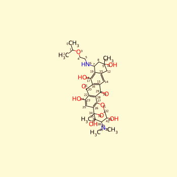 CC(C)OCCNC1CC(C)(O)Cc2cc3c(c(O)c21)C(=O)c1c(O)cc2c(c1C3=O)OC1OC2(C)C(O)C(N(C)C)C1O